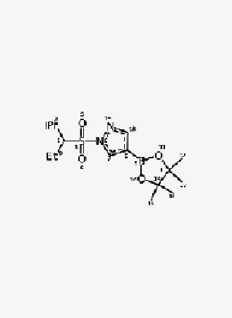 CCC(C(C)C)S(=O)(=O)n1cc(B2OC(C)(C)C(C)(C)O2)cn1